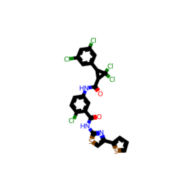 O=C(Nc1nc(-c2cccs2)cs1)c1cc(NC(=O)C2C(c3cc(Cl)cc(Cl)c3)C2(Cl)Cl)ccc1Cl